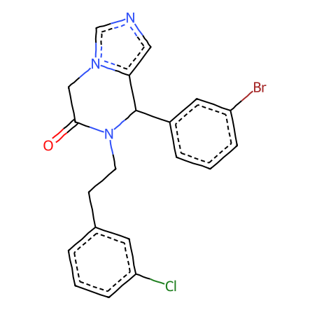 O=C1Cn2cncc2C(c2cccc(Br)c2)N1CCc1cccc(Cl)c1